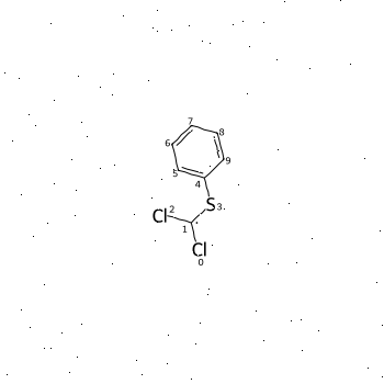 Cl[C](Cl)Sc1ccccc1